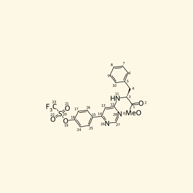 COC(=O)[C@H](Cc1ccccc1)Nc1cc(-c2ccc(OS(=O)(=O)C(F)(F)F)cc2)ncn1